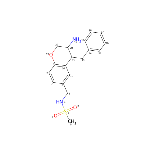 CS(=O)(=O)NCc1ccc2c(c1)C(Cc1ccccc1)C(N)CO2